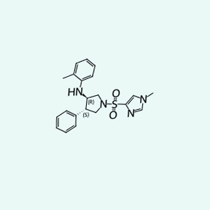 Cc1ccccc1N[C@H]1CN(S(=O)(=O)c2cn(C)cn2)C[C@@H]1c1ccccc1